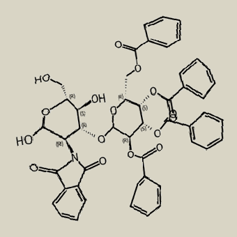 O=C(OC[C@H]1OC(O[C@H]2[C@H](O)[C@@H](CO)OC(O)[C@@H]2N2C(=O)c3ccccc3C2=O)[C@H](OC(=O)c2ccccc2)[C@@H](OC(=O)c2ccccc2)[C@H]1OC(=O)c1ccccc1)c1ccccc1